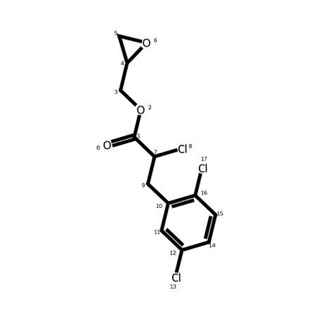 O=C(OCC1CO1)C(Cl)Cc1cc(Cl)ccc1Cl